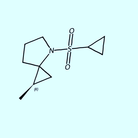 C[C@@H]1CC12CCCN2S(=O)(=O)C1CC1